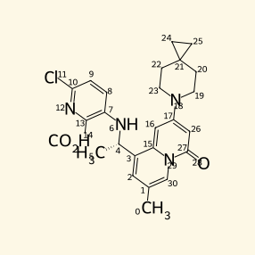 Cc1cc([C@H](C)Nc2ccc(Cl)nc2C(=O)O)c2cc(N3CCC4(CC3)CC4)cc(=O)n2c1